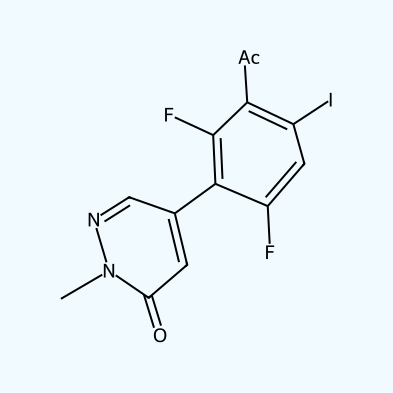 CC(=O)c1c(I)cc(F)c(-c2cnn(C)c(=O)c2)c1F